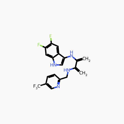 C=C(NCc1ccc(C(F)(F)F)cn1)C(=C)Nc1c[nH]c2cc(F)c(F)cc12